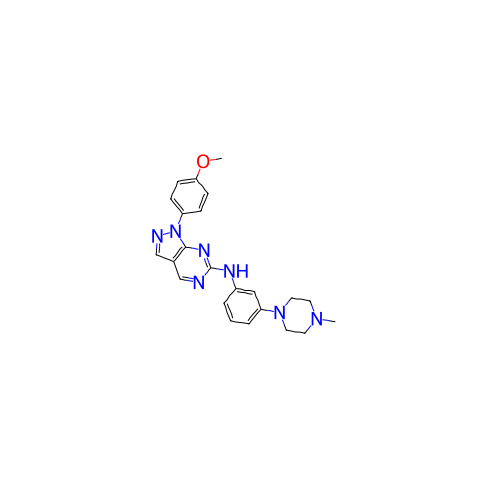 COc1ccc(-n2ncc3cnc(Nc4cccc(N5CCN(C)CC5)c4)nc32)cc1